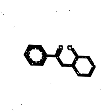 O=C(CC1CCCCC1Cl)c1ccccc1